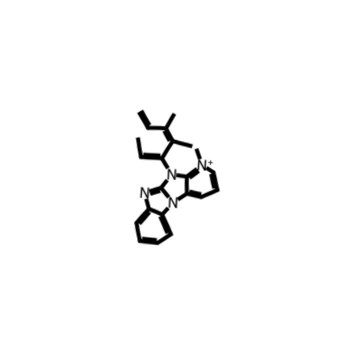 C=C/C(C)=C(C)\C(=C/C)n1c2nc3ccccc3n2c2ccc[n+](C)c21